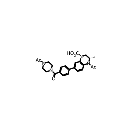 CC(=O)N1CCN(C(=O)c2ccc(-c3ccc4c(c3)N(C(=O)O)C[C@H](C)N4C(C)=O)cc2)CC1